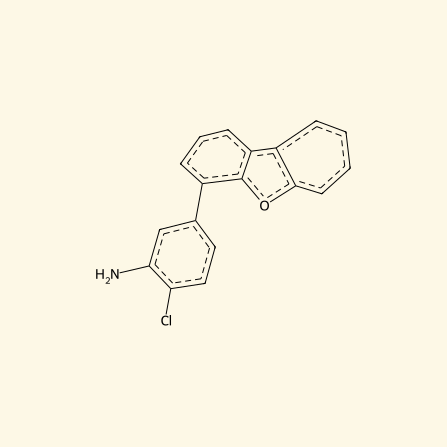 Nc1cc(-c2cccc3c2oc2ccccc23)ccc1Cl